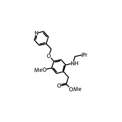 COC(=O)Cc1cc(OC)c(OCc2ccncc2)cc1NCC(C)C